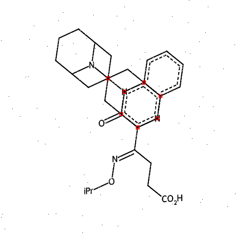 CC(C)O/N=C(\CCC(=O)O)c1nc2ccccc2n(C2CC3CCCC(C2)N3C2CC3CCCC(C3)C2)c1=O